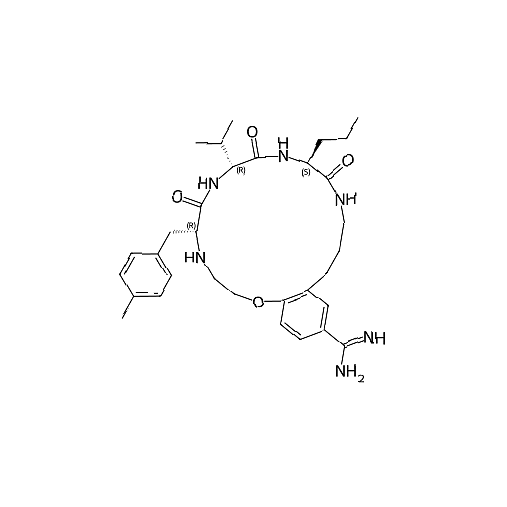 CCC[C@@H]1NC(=O)[C@@H](C(C)C)NC(=O)[C@@H](Cc2ccc(C)cc2)NCCOc2ccc(C(=N)N)cc2CCCNC1=O